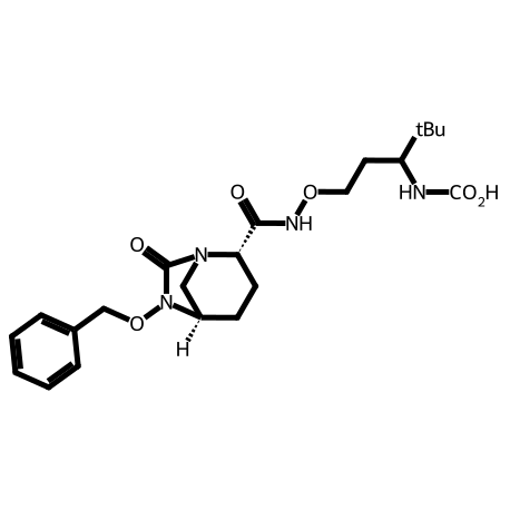 CC(C)(C)C(CCONC(=O)[C@@H]1CC[C@@H]2CN1C(=O)N2OCc1ccccc1)NC(=O)O